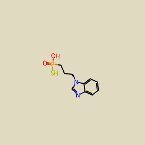 O=P(O)(S)CCCn1cnc2ccccc21